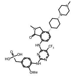 COc1cc(CP(=O)(O)O)ccc1Nc1ncc(C(F)(F)F)c(Nc2ccc([C@H]3CC[C@@H](N4CCN(C)CC4)CC3)c3c2C(=O)N(C)C3)n1